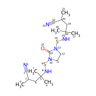 CC(C#N)CC(C)(C)NSN1CCN(SNC(C)(C)CC(C)C#N)C1=O